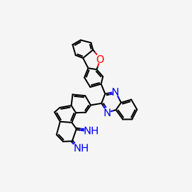 N=C1C=Cc2ccc3ccc(-c4nc5ccccc5nc4-c4ccc5c(c4)oc4ccccc45)cc3c2C1=N